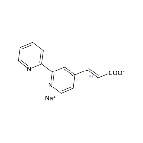 O=C([O-])/C=C/c1ccnc(-c2ccccn2)c1.[Na+]